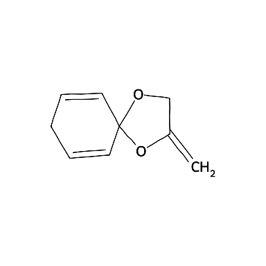 C=C1COC2(C=CCC=C2)O1